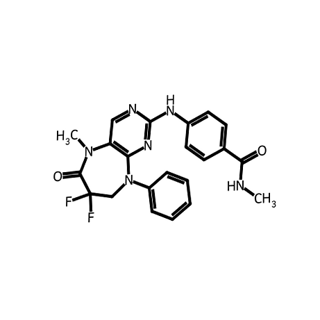 CNC(=O)c1ccc(Nc2ncc3c(n2)N(c2ccccc2)CC(F)(F)C(=O)N3C)cc1